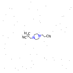 CC(C#N)CN1CCN(CCC#N)CC1